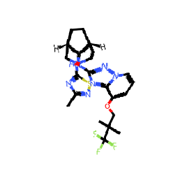 Cc1nsc(N2C[C@H]3CC[C@@H](C2)C3Nc2nc3c(OCC(C)(C)C(F)(F)F)cccn3n2)n1